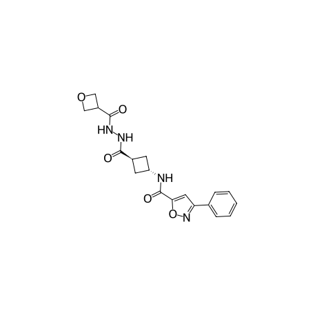 O=C(N[C@H]1C[C@H](C(=O)NNC(=O)C2COC2)C1)c1cc(-c2ccccc2)no1